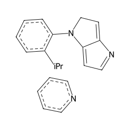 CC(C)c1ccccc1N1CC=C2N=CC=C21.c1ccncc1